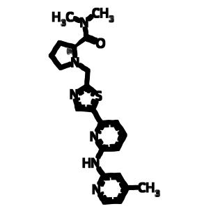 Cc1ccnc(Nc2cccc(-c3cnc(CN4CCC[C@H]4C(=O)N(C)C)s3)n2)c1